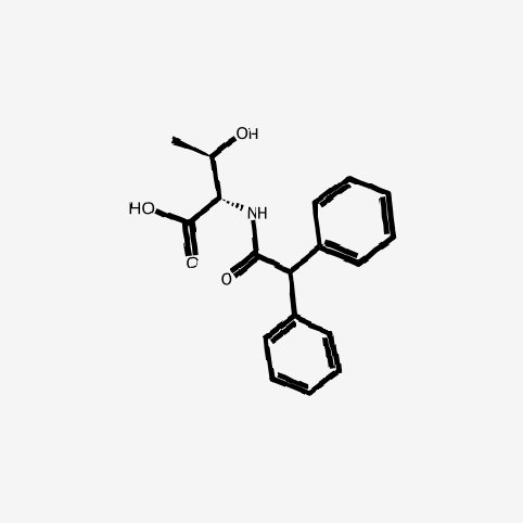 C[C@@H](O)[C@H](NC(=O)C(c1ccccc1)c1ccccc1)C(=O)O